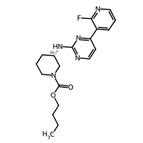 CCCCOC(=O)N1CCC[C@H](Nc2nccc(-c3cccnc3F)n2)C1